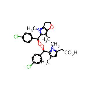 Cc1c2c(n(C)c1C(=O)c1ccc(Cl)cc1)CCO2.Cc1cc(CC(=O)O)n(C)c1C(=O)c1ccc(Cl)cc1